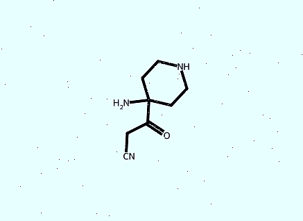 N#CCC(=O)C1(N)CCNCC1